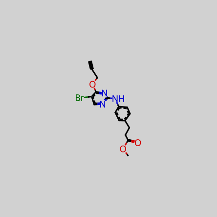 C#CCOc1nc(Nc2ccc(CCC(=O)OC)cc2)ncc1Br